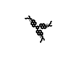 CCCCC(CC)COc1ccc2ccc3c(-c4cc(-c5ccc6ccc7c(OCC(CC)CCCC)ccc8ccc5c6c87)cc(-c5ccc6ccc7c(OCC(CC)CCCC)ccc8ccc5c6c87)c4)ccc4ccc1c2c43